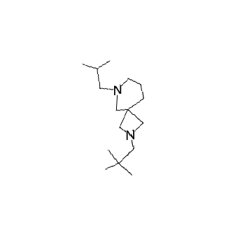 CC(C)CN1CCCC2(C1)CN(CC(C)(C)C)C2